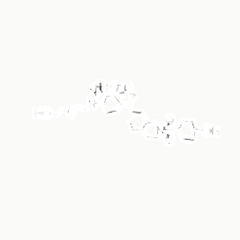 CCOC(=O)CC(c1ccc2c(c1)CN(S(=O)(=O)c1ccc(O)cc1)CC2)c1ccc2c(nnn2CCOCCO)c1C